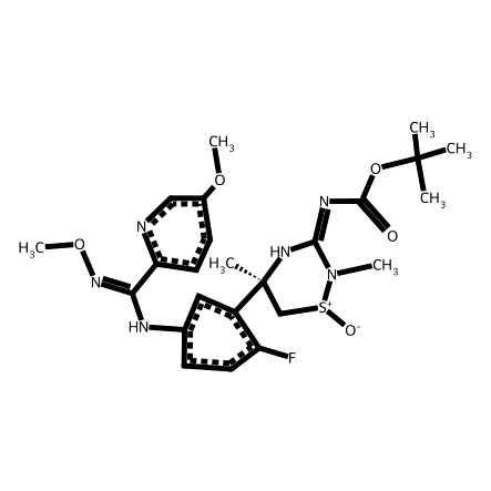 CO/N=C(/Nc1ccc(F)c([C@]2(C)C[S+]([O-])N(C)/C(=N\C(=O)OC(C)(C)C)N2)c1)c1ccc(OC)cn1